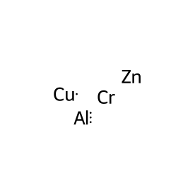 [Al].[Cr].[Cu].[Zn]